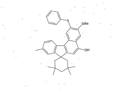 CSc1cc2c(O)cc3c(c2cc1Sc1ccccc1)-c1ccc(C)cc1C31CC(C)(C)CC(C)(C)C1